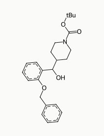 CC(C)(C)OC(=O)N1CCC(C(O)c2ccccc2OCc2ccccc2)CC1